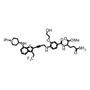 COC(=O)C(CCC(N)=O)NC(=O)c1ccc(NCC#Cc2sc3c(NC4CCN(C(C)C)CC4)cccc3c2CC(F)(F)F)c(OCCO)c1